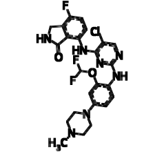 CN1CCN(c2ccc(Nc3ncc(Cl)c(Nc4ccc(F)c5c4C(=O)NC5)n3)c(OC(F)F)c2)CC1